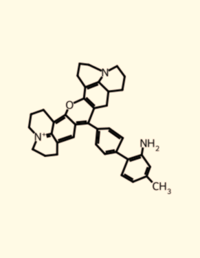 Cc1ccc(-c2ccc(C3=c4cc5c6c(c4OC4=C3CC3CCCN7CCCC4=C37)CCC[N+]=6CCC5)cc2)c(N)c1